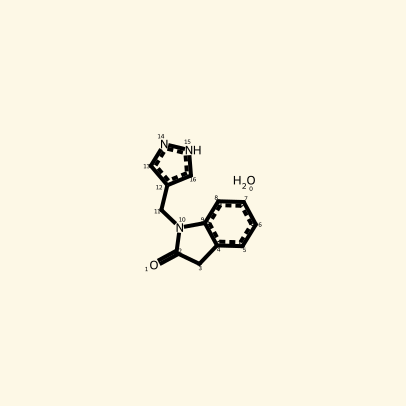 O.O=C1Cc2ccccc2N1Cc1cn[nH]c1